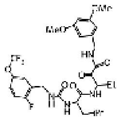 CCC(NC(=O)C(CC(C)C)NC(=O)NCc1cc(OC(F)(F)F)ccc1F)C(=O)C(=O)NCc1cc(OC)cc(OC)c1